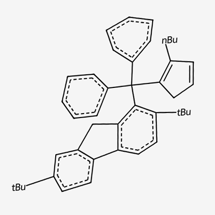 CCCCC1=C(C(c2ccccc2)(c2ccccc2)c2c(C(C)(C)C)ccc3c2Cc2cc(C(C)(C)C)ccc2-3)CC=C1